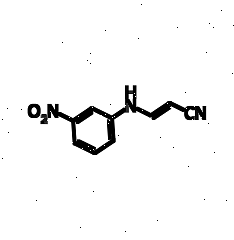 N#CC=CNc1cccc([N+](=O)[O-])c1